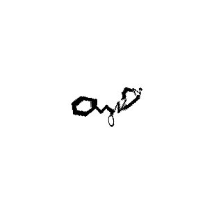 CN1CCN(C(=O)CCc2ccccc2)CC1